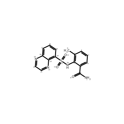 Cc1cccc(C(N)=O)c1NS(=O)(=O)c1cccc2nccnc12